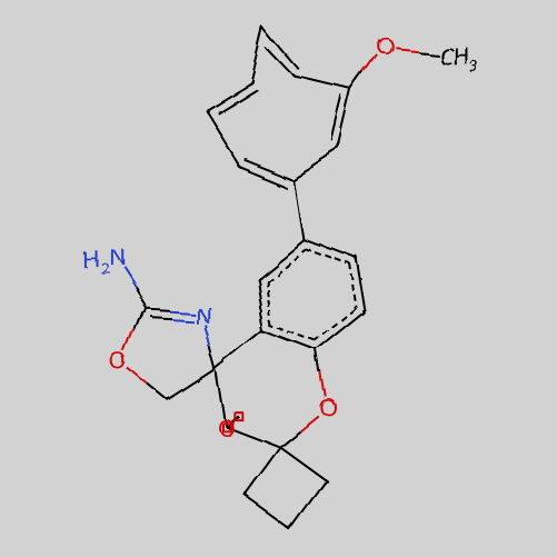 COC1=C/C(c2ccc3c(c2)C2(COC(N)=N2)C2(COC2)C2(CCC2)O3)=C\C=C\C=C\1